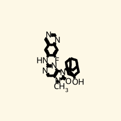 Cn1c(=O)n(C23CC4CC(CC(O)(C4)C2)C3)c2nc(Nc3cc4cncnc4cc3F)ncc21